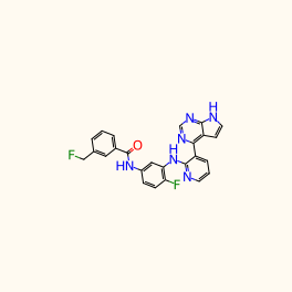 O=C(Nc1ccc(F)c(Nc2ncccc2-c2ncnc3[nH]ccc23)c1)c1cccc(CF)c1